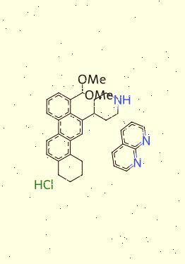 COC(OC)c1cccc2c1c(C1CCNCC1)cc1c3c(ccc12)CCCC3.Cl.c1cnc2ncccc2c1